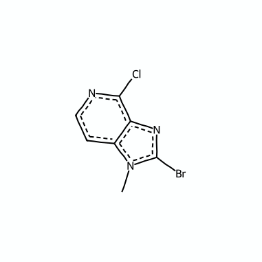 Cn1c(Br)nc2c(Cl)nccc21